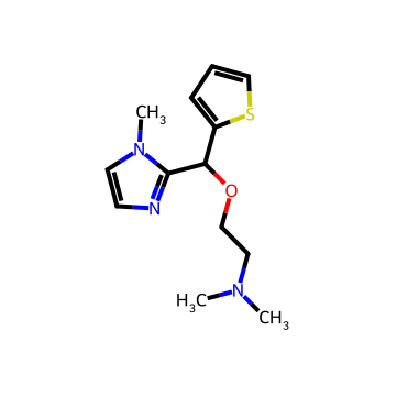 CN(C)CCOC(c1cccs1)c1nccn1C